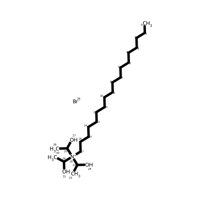 CCCCCCCCCCCCCCCCCC[N+](C(C)O)(C(C)O)C(C)O.[Br-]